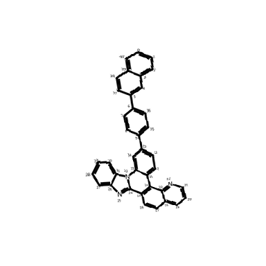 c1ccc2cc(-c3ccc(-c4ccc5c6c(ccc7cccnc76)c6nc7ccccc7n6c5c4)cc3)ccc2c1